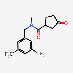 CN(Cc1cc(C(F)(F)F)cc(C(F)(F)F)c1)C(=O)C1CCC(=O)C1